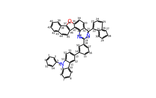 c1ccc(-n2c3ccccc3c3cc(-c4cccc(-c5nc(-c6cccc7ccccc67)c6ccc7oc8c9ccccc9ccc8c7c6n5)c4)ccc32)cc1